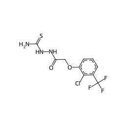 NC(=S)NNC(=O)COc1cccc(C(F)(F)F)c1Cl